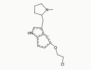 CN1CCCC1Cc1c[nH]c2ccc(OCCCl)cc12